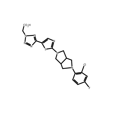 O=C(O)Cn1nnc(-c2cnc(N3CC4CN(c5ccc(F)cc5Cl)CC4C3)s2)n1